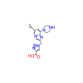 O=C(O)c1cn(Cc2cn3cc(C4CC4)cc(N4CCNCC4)c3n2)nn1